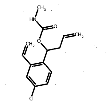 C=CCC(OC(=O)NC)c1ccc(Cl)cc1C=C